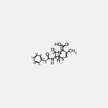 CC1=CS[C@@H]2[C@H](NC(=O)Cc3ccccc3)C(=O)N2[C@H]1C(=O)O